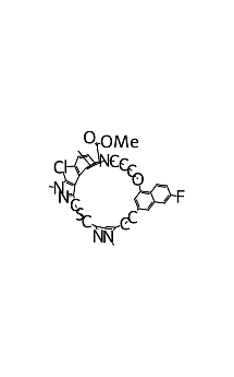 COC(=O)c1c(C)c2c3c(Cl)ccc2n1CCCOc1cc(cc2cc(F)ccc12)CCc1cc(nn1C)CSCc1nn(C)c(C)c1-3